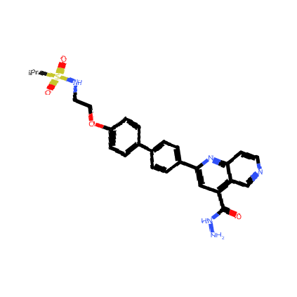 CC(C)S(=O)(=O)NCCOc1ccc(-c2ccc(-c3cc(C(=O)NN)c4cnccc4n3)cc2)cc1